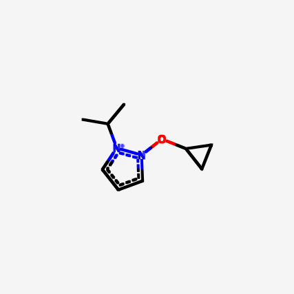 CC(C)[n+]1cccn1OC1CC1